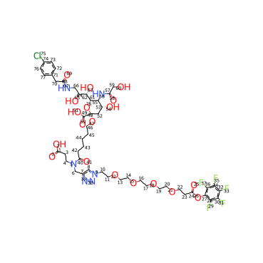 O=C(O)CCN(Cc1cn(CCOCCOCCOCCOCCC(=O)Oc2c(F)c(F)c(F)c(F)c2F)nn1)C(=O)CCCCCO[C@@]1(C(=O)O)C[C@@H](O)[C@H](NC(=O)CO)[C@@H]([C@@H](O)[C@@H](O)CNC(=O)Cc2ccc(Cl)cc2)O1